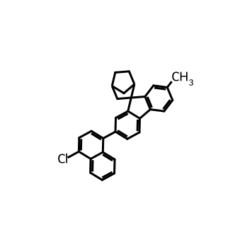 Cc1ccc2c(c1)C1(CC3CCC1C3)c1cc(-c3ccc(Cl)c4ccccc34)ccc1-2